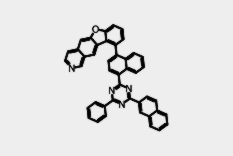 c1ccc(-c2nc(-c3ccc4ccccc4c3)nc(-c3ccc(-c4cccc5oc6cc7ccncc7cc6c45)c4ccccc34)n2)cc1